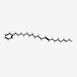 CCCCCCCCC=CCCCCCCCCSCc1ccccc1